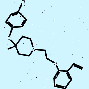 C=Cc1ccccc1OCCN1CCC(C)(Oc2ccc(Cl)cc2)CC1